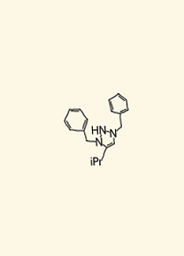 CC(C)C1=CN(Cc2ccccc2)NN1Cc1ccccc1